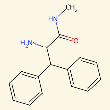 CNC(=O)[C@@H](N)C(c1ccccc1)c1ccccc1